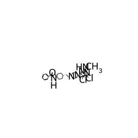 CNc1nc(Cl)c(Cl)c(N2CCN(CC[C@H]3CC[C@H](NC(=O)c4ccccc4)CC3)CC2)n1